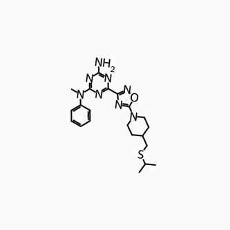 CC(C)SCC1CCN(c2nc(-c3nc(N)nc(N(C)c4ccccc4)n3)no2)CC1